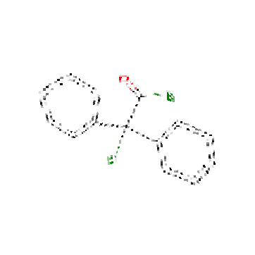 O=C(Br)C(Br)(c1ccccc1)c1ccccc1